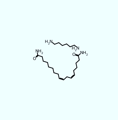 NC(=O)CCCC/C=C\C/C=C\CCCCCCCC(N)=O.NCCCCCCN